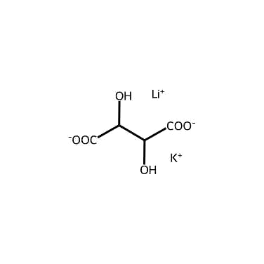 O=C([O-])C(O)C(O)C(=O)[O-].[K+].[Li+]